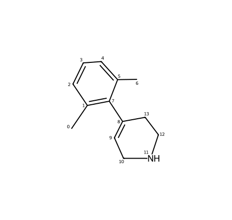 Cc1cccc(C)c1C1=CCNCC1